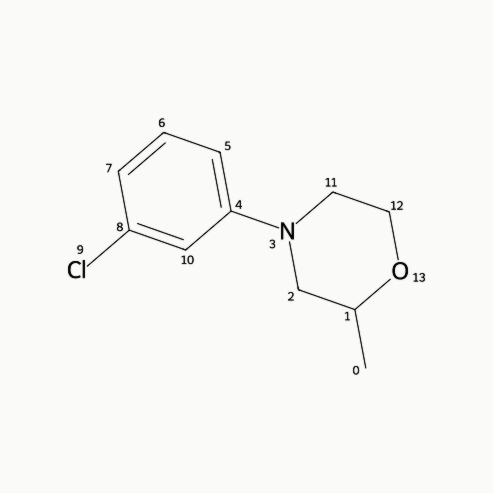 CC1CN(c2cccc(Cl)c2)CCO1